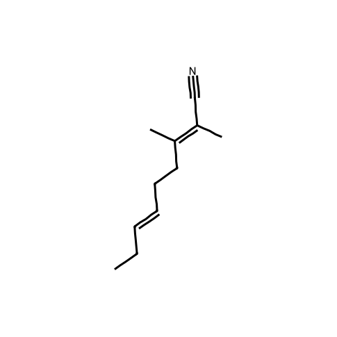 CC/C=C/CC/C(C)=C(\C)C#N